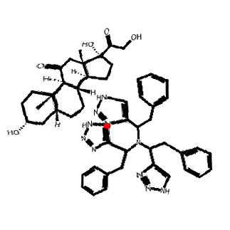 C[C@]12CC[C@@H](O)C[C@H]1CC[C@@H]1[C@@H]2C(=O)C[C@@]2(C)[C@H]1CC[C@]2(O)C(=O)CO.c1ccc(CC(c2c[nH]nn2)N(C(Cc2ccccc2)c2c[nH]nn2)C(Cc2ccccc2)c2c[nH]nn2)cc1